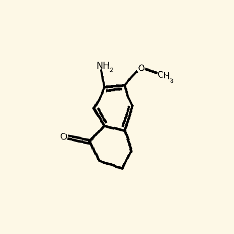 COc1cc2c(cc1N)C(=O)CCC2